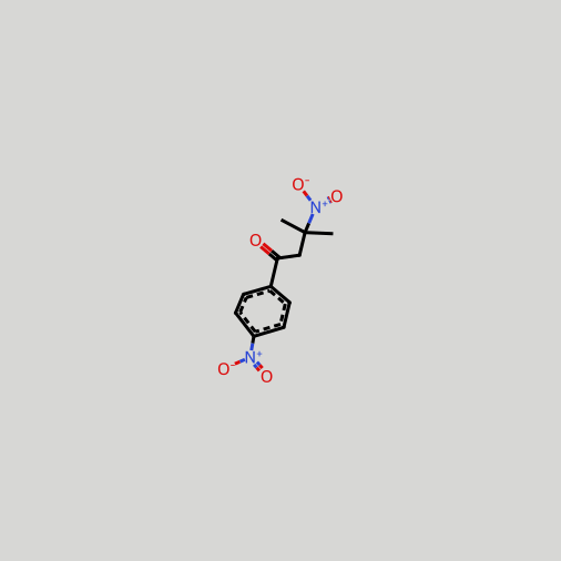 CC(C)(CC(=O)c1ccc([N+](=O)[O-])cc1)[N+](=O)[O-]